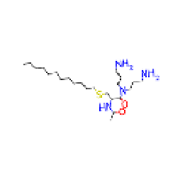 CCCCCCCCCCCCSCC(NC(C)=O)C(=O)N(CCCN)CCCN